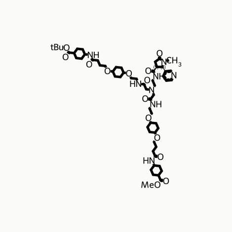 COC(=O)C1CCC(NC(=O)CCCOC2CCC(OCCNC(=O)CN(CCNC(=O)[C@H]3CC(=O)N(C)[C@@H]3c3cccnc3)CC(=O)NCCOC3CCC(OCCCC(=O)NC4CCC(C(=O)OC(C)(C)C)CC4)CC3)CC2)CC1